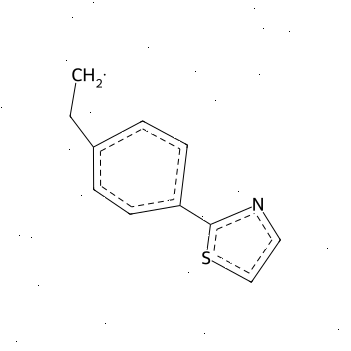 [CH2]Cc1ccc(-c2nccs2)cc1